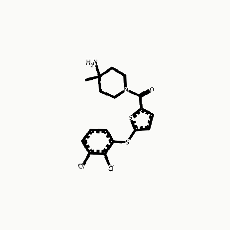 CC1(N)CCN(C(=O)c2ccc(Sc3cccc(Cl)c3Cl)s2)CC1